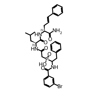 CC(C)C[C@H](NC(=O)CP(=O)(O)C(Cc1ccccc1)NC(=O)c1cccc(Br)c1)C(=O)N[C@@H](CC=Cc1ccccc1)C(N)=O